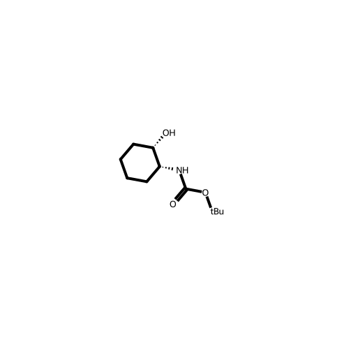 CC(C)(C)OC(=O)N[C@@H]1CCCC[C@@H]1O